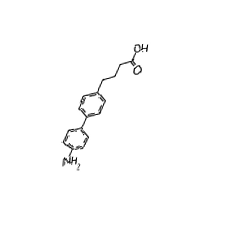 Nc1ccc(-c2ccc(CCCC(=O)O)cc2)cc1